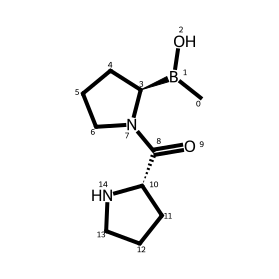 CB(O)[C@@H]1CCCN1C(=O)[C@@H]1CCCN1